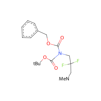 CNCC(F)(F)CN(C(=O)OCc1ccccc1)C(=O)OC(C)(C)C